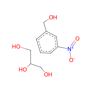 O=[N+]([O-])c1cccc(CO)c1.OCC(O)CO